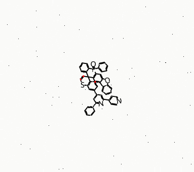 O=P1(c2ccccc2)c2ccccc2C2(c3ccccc3Sc3cc(-c4cc(-c5ccccc5)nc(-c5ccncc5)c4)ccc32)c2cc3c(cc21)oc1ccccc13